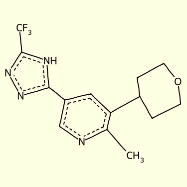 Cc1ncc(-c2nnc(C(F)(F)F)[nH]2)cc1C1CCOCC1